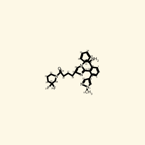 Cn1cc(-c2cccc(C(N)=O)c2-c2nc(CCCC(=O)N3CCCC(F)(F)C3)cn2-c2ccccc2)cn1